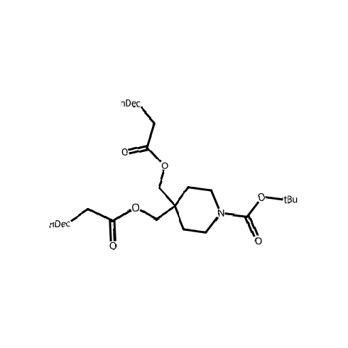 CCCCCCCCCCCC(=O)OCC1(COC(=O)CCCCCCCCCCC)CCN(C(=O)OC(C)(C)C)CC1